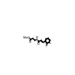 COC(=O)CCNC(=O)C=Cc1ccccc1F